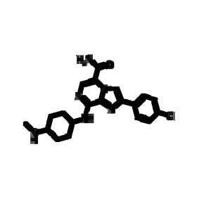 CNC1CCC(Nc2ncc(C(N)=O)n3cc(-c4ccc(Cl)cc4)nc23)CC1